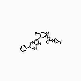 O=C(Nc1ccc(F)c(-c2cn3cc(-c4ccccc4)cnc3n2)c1)N1CC(F)C1